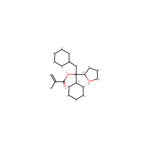 C=C(C)C(=O)OC(CC1CCCCC1)(C1CCCCC1)C1CCCO1